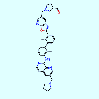 Cc1c(Nc2nccc3cc(CN4CCCC4)cnc23)cccc1-c1cccc(-c2nc3cc(CN4CC[C@@H](C=O)C4)cnc3o2)c1C